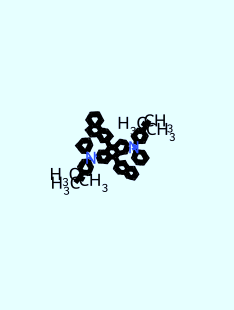 CC(C)(C)c1ccc(N(c2ccccc2)c2ccc3c(-c4ccc5c(ccc6ccccc65)c4)c4cc(N(c5ccccc5)c5ccc(C(C)(C)C)cc5)ccc4c(-c4ccc5ccccc5c4)c3c2)cc1